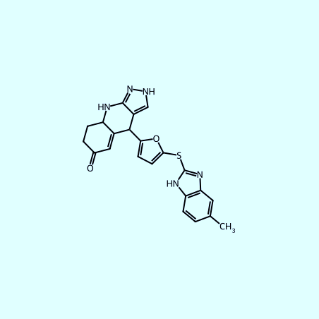 Cc1ccc2[nH]c(Sc3ccc(C4C5=CC(=O)CCC5Nc5n[nH]cc54)o3)nc2c1